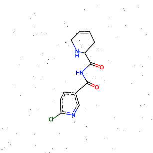 O=C(NC(=O)C1CC=CCN1)c1ccc(Cl)nc1